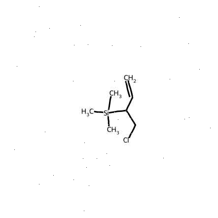 C=CC(CCl)[Si](C)(C)C